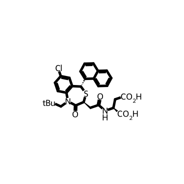 CC(C)(C)CN1C(=O)[C@H](CC(=O)N[C@@H](CC(=O)O)C(=O)O)S[C@@H](c2cccc3ccccc23)c2cc(Cl)ccc21